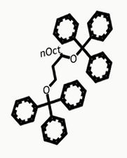 CCCCCC[CH]CC(CCOC(c1ccccc1)(c1ccccc1)c1ccccc1)OC(c1ccccc1)(c1ccccc1)c1ccccc1